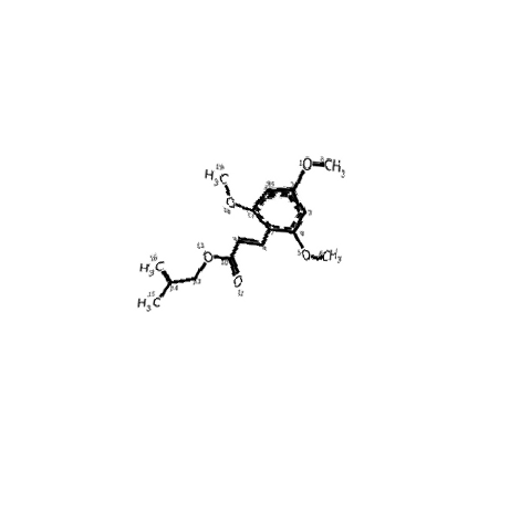 COc1cc(OC)c(C=CC(=O)OCC(C)C)c(OC)c1